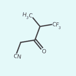 CC(C(=O)CC#N)C(F)(F)F